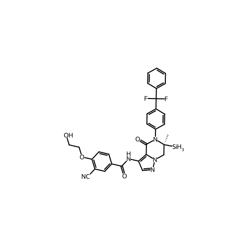 C[C@]1([SiH3])Cn2ncc(NC(=O)c3ccc(OCCO)c(C#N)c3)c2C(=O)N1c1ccc(C(F)(F)c2ccccc2)cc1